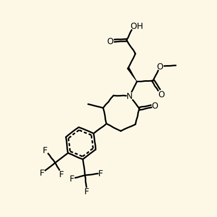 COC(=O)[C@H](CCC(=O)O)N1CC(C)C(c2ccc(C(F)(F)F)c(C(F)(F)F)c2)CCC1=O